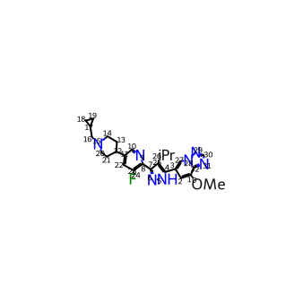 COc1cc(-c2[nH]nc(-c3ncc(C4CCN(CC5CC5)CC4)cc3F)c2C(C)C)cn2ncnc12